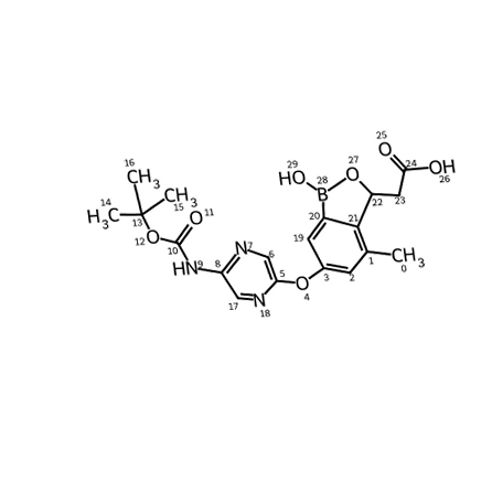 Cc1cc(Oc2cnc(NC(=O)OC(C)(C)C)cn2)cc2c1C(CC(=O)O)OB2O